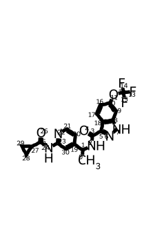 CC(NC(=O)c1n[nH]c2cc(OC(F)(F)F)ccc12)c1ccnc(NC(=O)C2CC2)c1